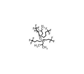 CC(C)[CH2][Sn]([CH2]CCC(F)(F)F)([CH2]CCC(F)(F)F)[O][Sn]([CH2]CCC(F)(F)F)([CH2]CCC(F)(F)F)[CH2]C(C)C